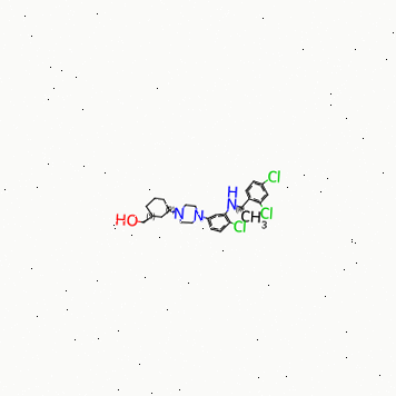 C[C@@H](Nc1cc(N2CCN([C@@H]3CCC[C@H](CO)C3)CC2)ccc1Cl)c1ccc(Cl)cc1Cl